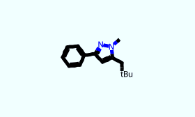 Cn1nc(-c2ccccc2)cc1CC(C)(C)C